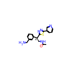 CC(=O)NC[C@@H](c1cccc(CN)c1)c1nnc(-c2cccnc2)s1